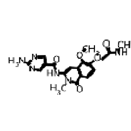 CNC(=O)COc1ccc2c(=O)n(C)c(NC(=O)c3cnc(N)nc3)cc2c1OC